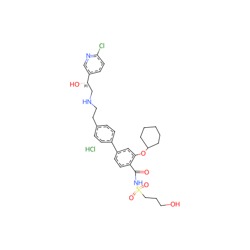 Cl.O=C(NS(=O)(=O)CCCO)c1ccc(-c2ccc(CCNC[C@H](O)c3ccc(Cl)nc3)cc2)cc1OC1CCCCC1